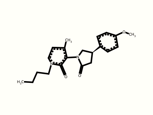 CCCCn1ccc(C)c(N2C[C@@H](c3ccc(OC)cc3)CC2=O)c1=O